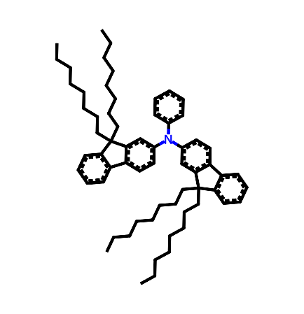 CCCCCCCCC1(CCCCCCCC)c2ccccc2-c2ccc(N(c3ccccc3)c3ccc4c(c3)C(CCCCCCCC)(CCCCCCCC)c3ccccc3-4)cc21